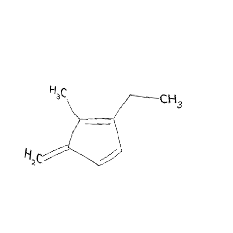 C=C1C=CC(CC)=C1C